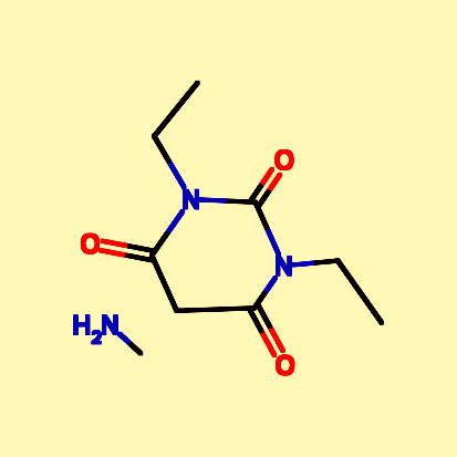 CCN1C(=O)CC(=O)N(CC)C1=O.CN